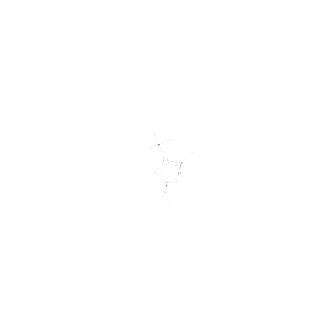 CCC(C)(C)c1nc(C(C)(C)C)sc1C